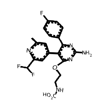 Cc1cc(-c2c(OCCNC(=O)O)nc(N)nc2-c2ccc(F)cc2)cc(C(F)F)n1